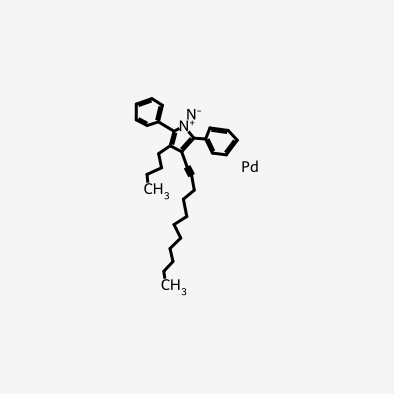 CCCCCCCCCC#CC1=C(c2ccccc2)[N+](=[N-])C(c2ccccc2)=C1CCCC.[Pd]